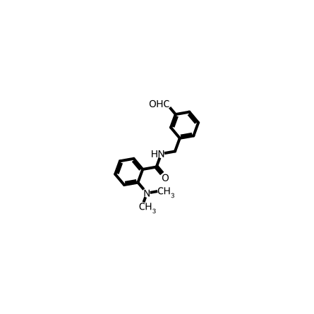 CN(C)c1ccccc1C(=O)NCc1cccc(C=O)c1